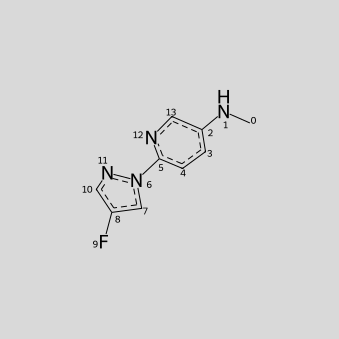 CNc1ccc(-n2cc(F)cn2)nc1